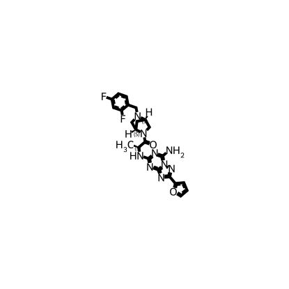 C[C@H](Nc1nc(N)n2nc(-c3ccco3)nc2n1)C(=O)N1C[C@@H]2C[C@H]1CN2Cc1ccc(F)cc1F